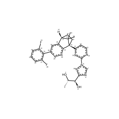 C[C@H](O)[C@H](O)c1ncn(-c2nccc([C@@]34CC[C@@H](c5cc(-c6c(F)cccc6F)nnc53)C4(C)C)n2)n1